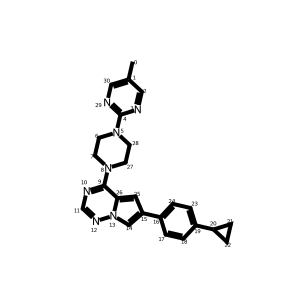 Cc1cnc(N2CCN(c3ncnn4cc(-c5ccc(C6CC6)cc5)cc34)CC2)nc1